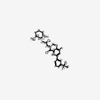 Cc1cc(-c2cccc(C(F)(F)F)c2)nc2c(=O)n(CC(=O)C[C@H]3NCCC[C@@H]3O)cnc12